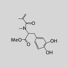 C=C(C)C(=O)N(C)C(Cc1ccc(O)c(O)c1)C(=O)OC